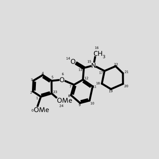 COc1cccc(Oc2ccccc2C(=O)N(C)C2CCCCC2)c1OC